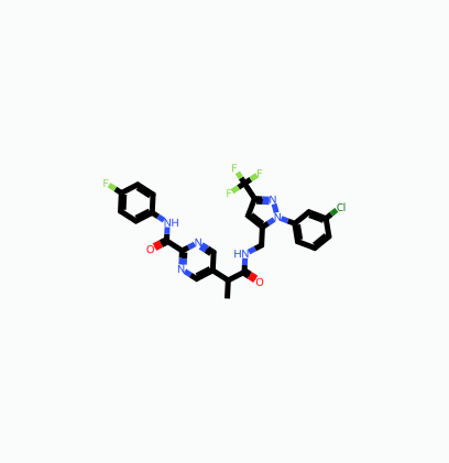 CC(C(=O)NCc1cc(C(F)(F)F)nn1-c1cccc(Cl)c1)c1cnc(C(=O)Nc2ccc(F)cc2)nc1